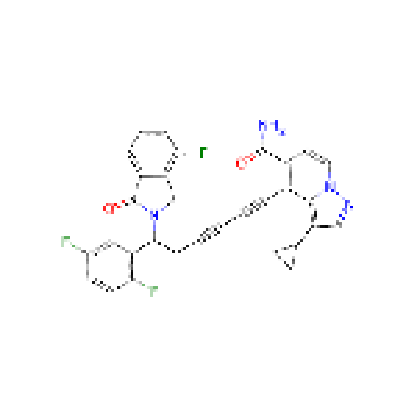 NC(=O)c1ccn2ncc(C3CC3)c2c1C#CC#CCC(c1cc(F)ccc1F)N1Cc2c(F)cccc2C1=O